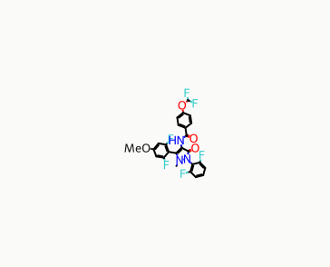 COc1cc(F)c(-c2c(NC(=O)c3ccc(OC(F)F)cc3)c(=O)n(-c3c(F)cccc3F)n2C)c(F)c1